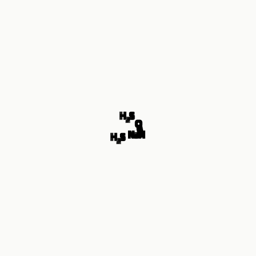 C=O.S.S.[NaH]